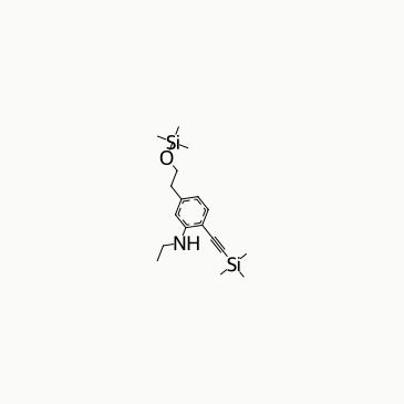 CCNc1cc(CCO[Si](C)(C)C)ccc1C#C[Si](C)(C)C